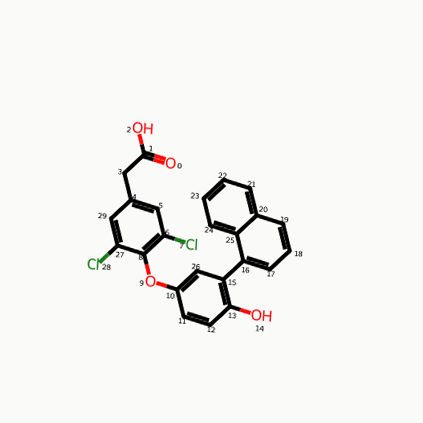 O=C(O)Cc1cc(Cl)c(Oc2ccc(O)c(-c3cccc4ccccc34)c2)c(Cl)c1